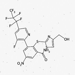 NC(=O)c1cc([N+](=O)[O-])cc(-c2ncc(C(F)(F)C(F)(F)C(F)(F)F)cc2F)c1Sc1nc(CO)cs1